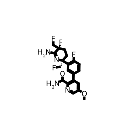 COc1cnc(C(N)=O)c(-c2ccc(F)c([C@]3(CF)CC[C@@](F)(CF)C(N)=N3)c2)c1